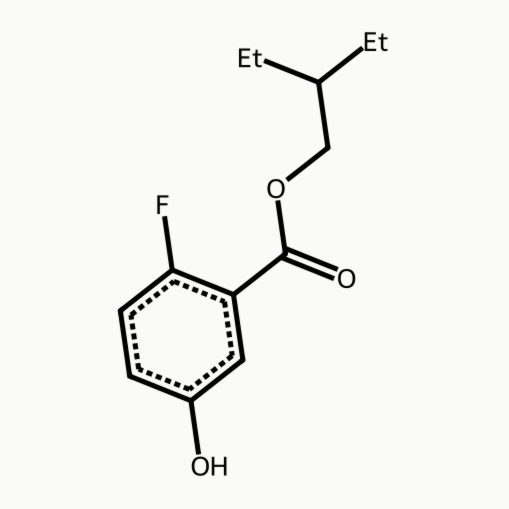 CCC(CC)COC(=O)c1cc(O)ccc1F